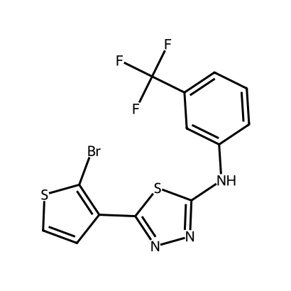 FC(F)(F)c1cccc(Nc2nnc(-c3ccsc3Br)s2)c1